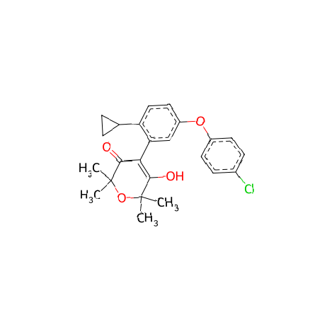 CC1(C)OC(C)(C)C(O)=C(c2cc(Oc3ccc(Cl)cc3)ccc2C2CC2)C1=O